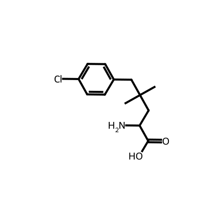 CC(C)(Cc1ccc(Cl)cc1)CC(N)C(=O)O